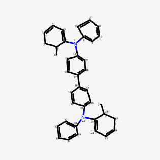 CC1CC=CC=C1N(c1ccccc1)c1ccc(-c2ccc(N(C3=CC=CCC3C)c3ccccc3)cc2)cc1